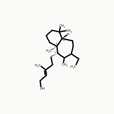 CCC1CC[C@H]2C(C)(C)CCC[C@]2(C)[C@@H](CC/C(C)=C/CO)C1C